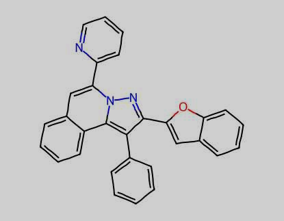 c1ccc(-c2c(-c3cc4ccccc4o3)nn3c(-c4ccccn4)cc4ccccc4c23)cc1